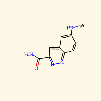 CC(C)Nc1ccc2nnc(C(N)=O)cc2c1